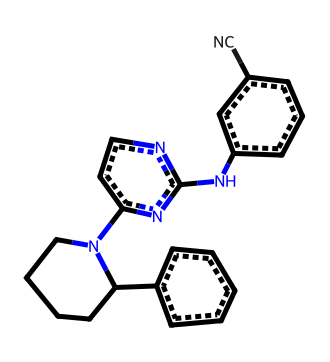 N#Cc1cccc(Nc2nccc(N3CCCCC3c3ccccc3)n2)c1